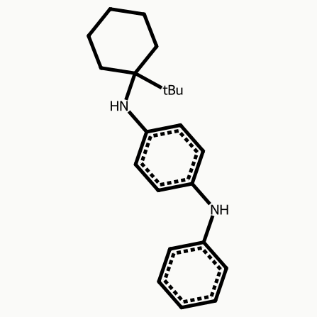 CC(C)(C)C1(Nc2ccc(Nc3ccccc3)cc2)CCCCC1